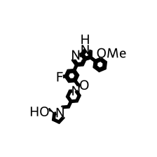 COc1ccccc1-c1c[nH]c2ncc(-c3cc(F)cc(C(=O)N4CCC(CCN5CCC[C@H]5CO)CC4)c3)cc12